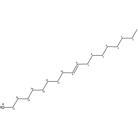 CCCCCCCCC=CCCCCCCCCO